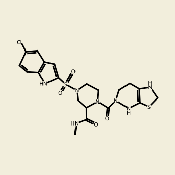 CNC(=O)C1CN(S(=O)(=O)c2cc3cc(Cl)ccc3[nH]2)CCN1C(=O)N1CCC2=C(N1)SCN2